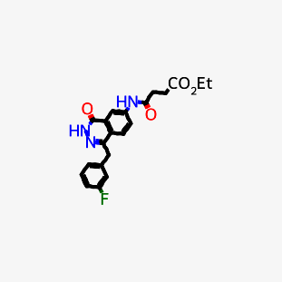 CCOC(=O)CCC(=O)Nc1ccc2c(Cc3cccc(F)c3)n[nH]c(=O)c2c1